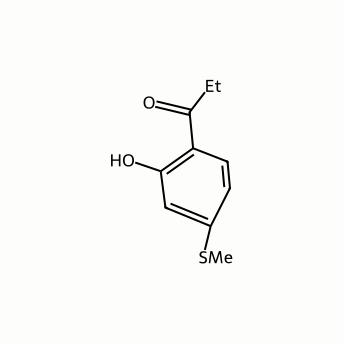 CCC(=O)c1ccc(SC)cc1O